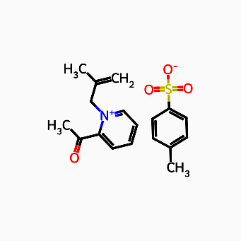 C=C(C)C[n+]1ccccc1C(C)=O.Cc1ccc(S(=O)(=O)[O-])cc1